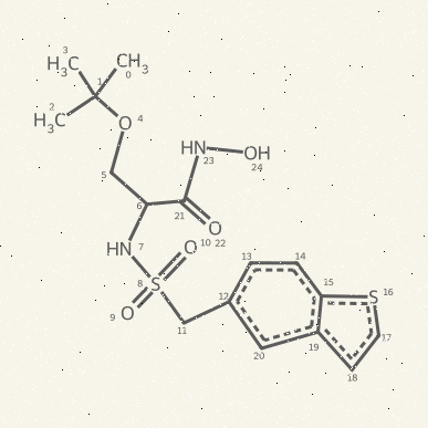 CC(C)(C)OCC(NS(=O)(=O)Cc1ccc2sccc2c1)C(=O)NO